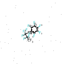 Fc1c(F)c(F)c([AsH](F)(F)C(F)(F)C(F)(F)C(F)(F)F)c(F)c1F